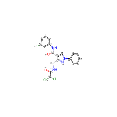 O=C(Nc1cccc(F)c1)c1cn(-c2ccccc2)nc1CNC(=O)C(Cl)Cl